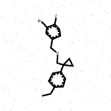 CCc1ccc(C2(COCc3ccc(F)c(Br)c3)CC2)cc1